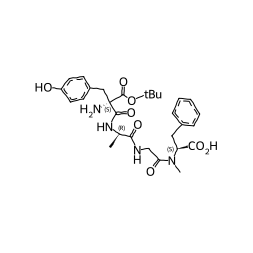 C[C@@H](NC(=O)[C@@](N)(Cc1ccc(O)cc1)C(=O)OC(C)(C)C)C(=O)NCC(=O)N(C)[C@@H](Cc1ccccc1)C(=O)O